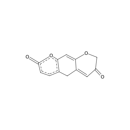 O=C1C=C2Cc3ccc(=O)oc3C=C2OC1